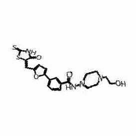 O=C1NC(=S)S/C1=C/c1ccc(-c2cccc(C(=O)NN3CCN(CCO)CC3)c2)o1